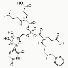 CC(C)CCN[C@@H](CCC(=O)O)C(=O)OP(=O)(OC[C@H]1O[C@@H](n2ccc(=O)[nH]c2=O)[C@](C)(O)[C@@H]1O)OC(=O)[C@H](CCC(=O)O)NCCC(C)Cc1ccccc1